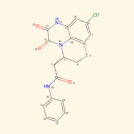 O=C(CC1CSc2cc(Cl)cc3[nH]c(=O)c(=O)n1c23)Nc1ccccc1